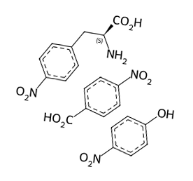 N[C@@H](Cc1ccc([N+](=O)[O-])cc1)C(=O)O.O=C(O)c1ccc([N+](=O)[O-])cc1.O=[N+]([O-])c1ccc(O)cc1